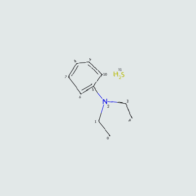 CCN(CC)c1ccccc1.S